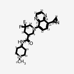 CN1CCC(NC(=O)C2CN(c3ccc(C4C=N4)c4nccnc34)CC(F)(F)C2)CC1